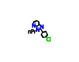 CCCn1c(-c2ccc(Cl)cc2)nc2cccnc21